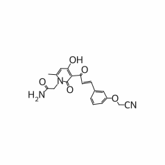 Cc1cc(O)c(C(=O)/C=C/c2cccc(OCC#N)c2)c(=O)n1CC(N)=O